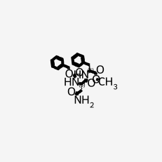 COC(=O)[C@H](Cc1ccccc1)NC(=O)[C@H](CC(N)=O)NC(=O)OCc1ccccc1